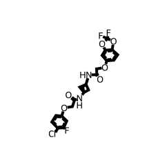 O=C(COc1ccc(Cl)c(F)c1)NC12CC(NC(=O)COc3ccc4c(c3)OC(F)(F)O4)(C1)C2